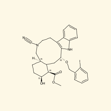 COC(=O)[C@@H]1C2C[C@@H](OCc3ccccc3I)c3[nH]c4ccccc4c3CCN(C#N)C[C@@H]2CC[C@@H]1O